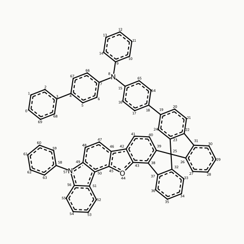 c1ccc(-c2ccc(N(c3ccccc3)c3ccc(-c4ccc5c(c4)C4(c6ccccc6-5)c5ccccc5-c5c4ccc4c5oc5c4ccc4c5c5ccccc5n4-c4ccccc4)cc3)cc2)cc1